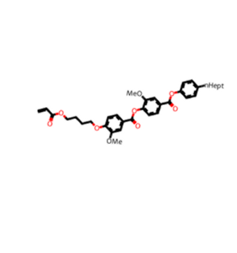 C=CC(=O)OCCCCOc1ccc(C(=O)Oc2ccc(C(=O)Oc3ccc(CCCCCCC)cc3)cc2OC)cc1OC